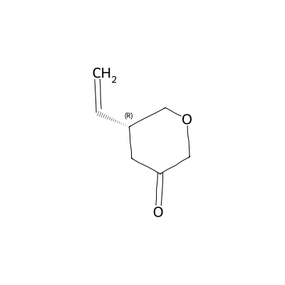 C=C[C@@H]1COCC(=O)C1